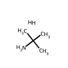 CC(C)(C)N.[HH]